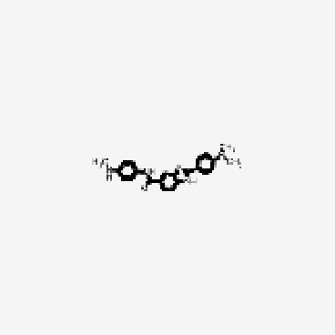 CNc1ccc(NC(=O)c2ccc3[nH]c(-c4ccc(N(C)C)cc4)nc3c2)cc1